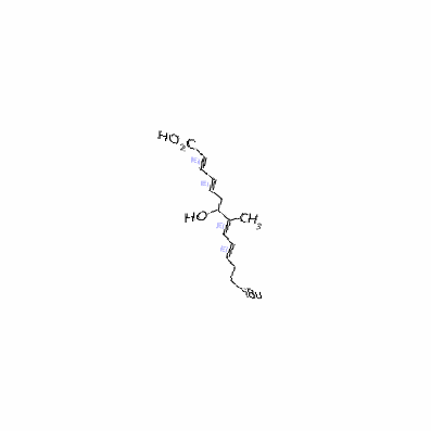 CCC(C)CC/C=C/C=C(\C)C(O)C/C=C/C=C/C(=O)O